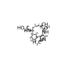 C[C@@H]1C=CC[C@H](NC(=O)O)c2cccc(c2)-c2c(cnn2C)NC1=O